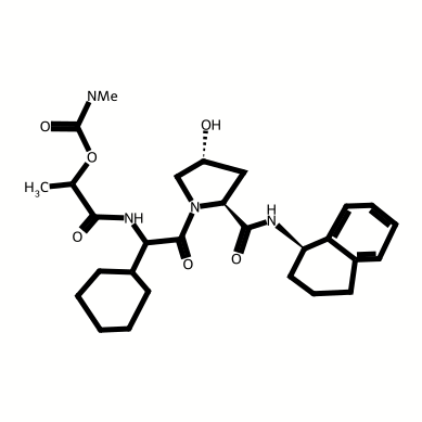 CNC(=O)OC(C)C(=O)NC(C(=O)N1C[C@H](O)C[C@H]1C(=O)N[C@@H]1CCCc2ccccc21)C1CCCCC1